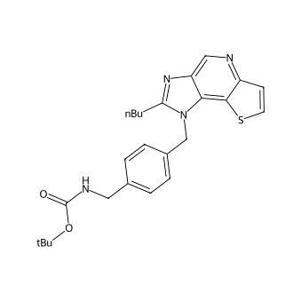 CCCCc1nc2cnc3ccsc3c2n1Cc1ccc(CNC(=O)OC(C)(C)C)cc1